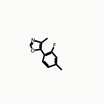 Cc1ccc(-c2ocnc2C)c(F)c1